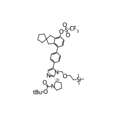 CC(C)(C)OC(=O)N1CCC[C@H]1c1ncc(-c2ccc(-c3ccc(OS(=O)(=O)C(F)(F)F)c4c3CC3(CCCC3)C4)cc2)n1COCC[Si](C)(C)C